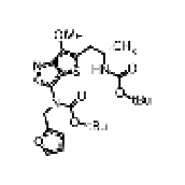 COc1c(C[C@H](C)NC(=O)OC(C)(C)C)sc2c(N(Cc3ccco3)C(=O)OC(C)(C)C)snc12